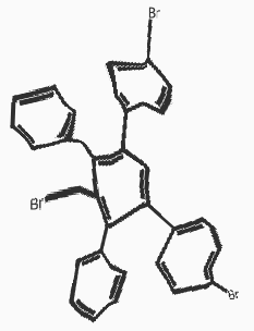 Brc1ccc(-c2cc(-c3ccc(Br)cc3)c(-c3ccccc3)c(Br)c2-c2ccccc2)cc1